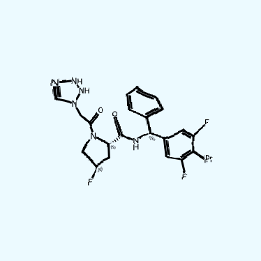 CC(C)c1c(F)cc([C@@H](NC(=O)[C@@H]2C[C@@H](F)CN2C(=O)CN2C=NNN2)c2ccccc2)cc1F